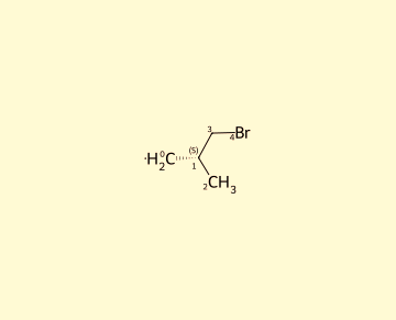 [CH2][C@@H](C)CBr